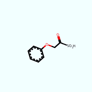 O=C(COc1ccccc1)S(=O)(=O)O